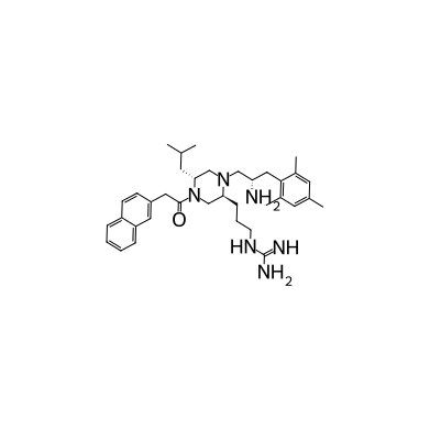 Cc1cc(C)c(C[C@H](N)CN2C[C@@H](CC(C)C)N(C(=O)Cc3ccc4ccccc4c3)C[C@@H]2CCCNC(=N)N)c(C)c1